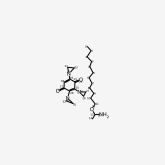 CCCCCCCCCCCCOC(C)N.O=C1C=C(N2CC2)C(=O)C(N2CC2)=C1N1CC1